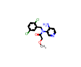 COCC(=O)N(Cc1cc(Cl)ccc1Cl)c1cnccc1N